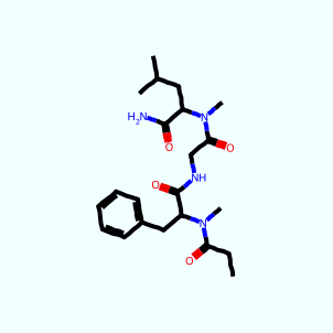 CCC(=O)N(C)C(Cc1ccccc1)C(=O)NCC(=O)N(C)C(CC(C)C)C(N)=O